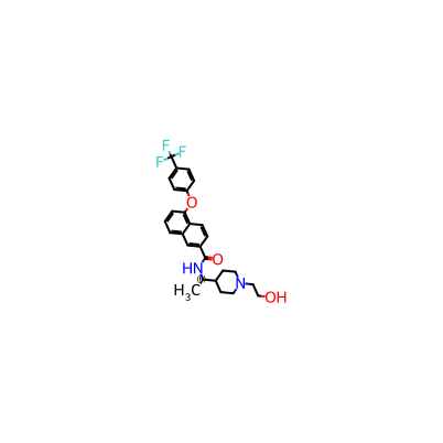 C[C@@H](NC(=O)c1ccc2c(Oc3ccc(C(F)(F)F)cc3)cccc2c1)C1CCN(CCO)CC1